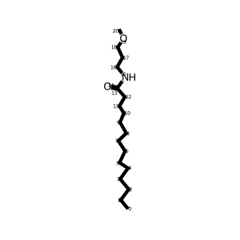 CCCCCCCCCCCCCC(=O)NCCCOC